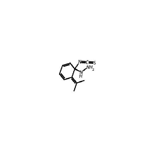 CC(C)=C1C=CC=CC1(N=C=S)NN